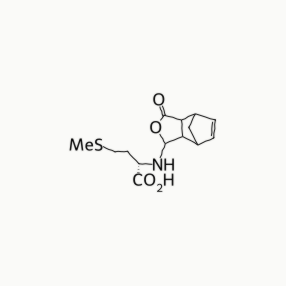 CSCC[C@H](NC1OC(=O)C2C3C=CC(C3)C12)C(=O)O